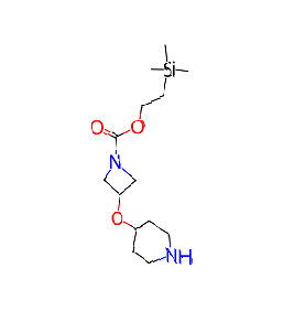 C[Si](C)(C)CCOC(=O)N1CC(OC2CCNCC2)C1